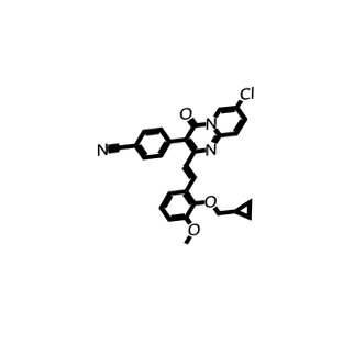 COc1cccc(/C=C/c2nc3ccc(Cl)cn3c(=O)c2-c2ccc(C#N)cc2)c1OCC1CC1